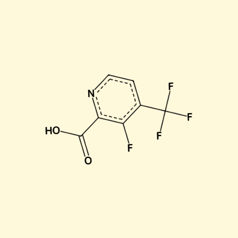 O=C(O)c1nccc(C(F)(F)F)c1F